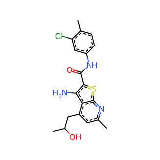 Cc1cc(CC(C)O)c2c(N)c(C(=O)Nc3ccc(C)c(Cl)c3)sc2n1